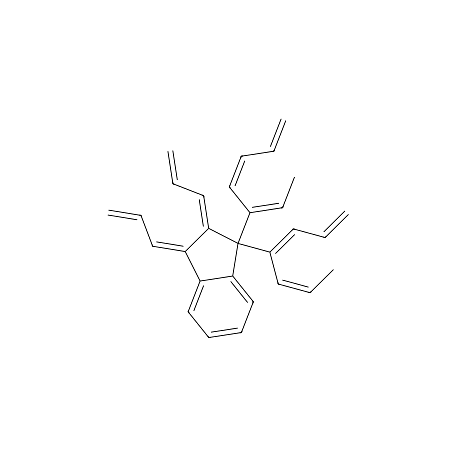 C=C/C=C\C(=C/C)C1(C(/C=C\C)=C/C=C)C(=C/C=C)/C(=C\C=C)c2ccccc21